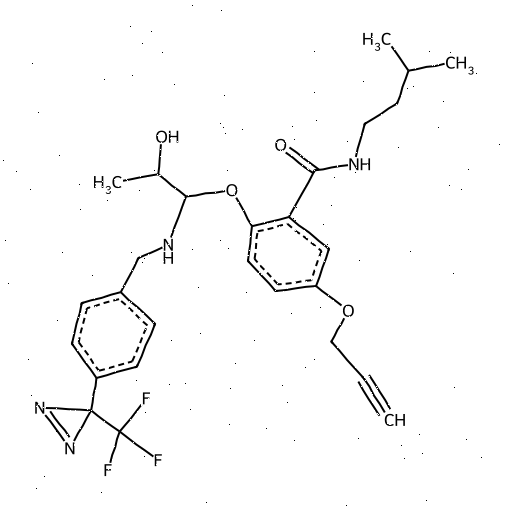 C#CCOc1ccc(OC(NCc2ccc(C3(C(F)(F)F)N=N3)cc2)C(C)O)c(C(=O)NCCC(C)C)c1